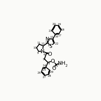 NC(=O)OC(CC(=O)N1CCCC1c1nc(-c2ccccc2)cs1)c1ccccc1